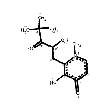 Cn1ccc(=O)c(O)c1CC(O)C(=O)C(C)(C)C